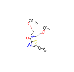 COCCN(CCOC)C(=O)c1ncc(C)s1